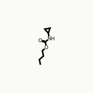 CCCCOC(=O)NC1CC1